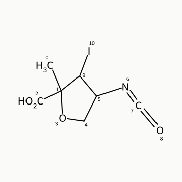 CC1(C(=O)O)OCC(N=C=O)C1I